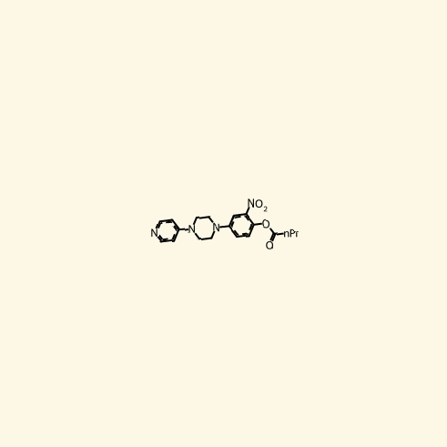 CCCC(=O)Oc1ccc(N2CCN(c3ccncc3)CC2)cc1[N+](=O)[O-]